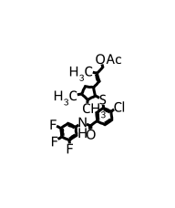 CC(=O)OC/C(C)=C/C1CC(C)C(C)C1Sc1cc(C(=O)Nc2cc(F)c(F)c(F)c2)ccc1Cl